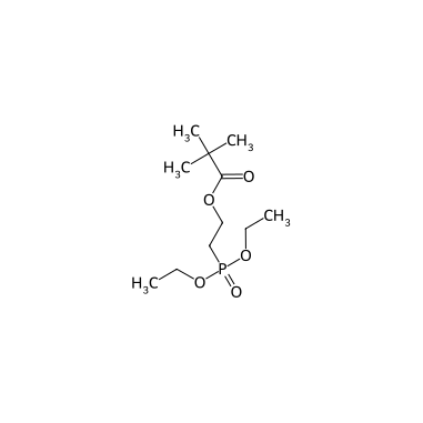 CCOP(=O)(CCOC(=O)C(C)(C)C)OCC